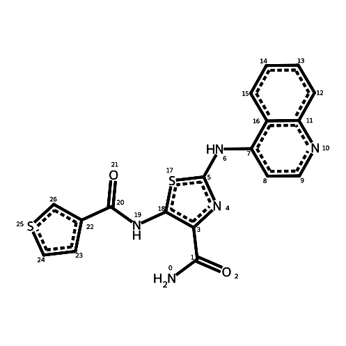 NC(=O)c1nc(Nc2ccnc3ccccc23)sc1NC(=O)c1ccsc1